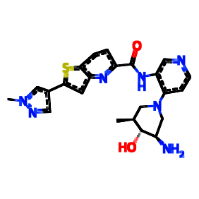 C[C@H]1CN(c2ccncc2NC(=O)c2ccc3sc(-c4cnn(C)c4)cc3n2)C[C@@H](N)[C@@H]1O